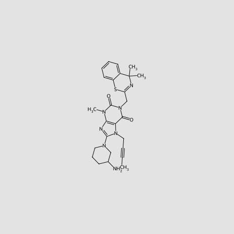 CC#CCn1c(N2CCCC(N)C2)nc2c1c(=O)n(CC1=NC(C)(C)c3ccccc3S1)c(=O)n2C